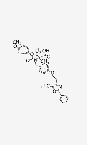 COc1ccc(OC(=O)N(Cc2ccc(OCCc3nc(-c4ccccc4)oc3C)cc2)C(C)(C)C(=O)O)cc1